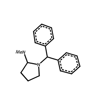 CNC1CCCN1C(c1ccccc1)c1ccccc1